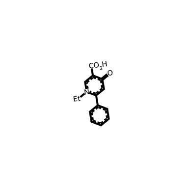 CCn1cc(C(=O)O)c(=O)cc1-c1ccccc1